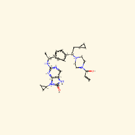 C=CC(=O)N1CCN([C@H](CC2CC2)c2ccc([C@H](C)Nc3ncc4[nH]c(=O)n(C5CC5)c4n3)cc2)CC1